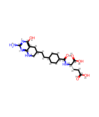 Nc1nc(O)c2c(n1)NCC(CCC1CCC(C(=O)N[C@@H](CCC(=O)O)C(=O)O)CC1)C2